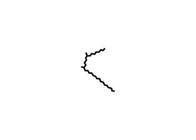 CCCCCCCCCCCCCCCCC(C)CCCCC(C)CCCCCCCC